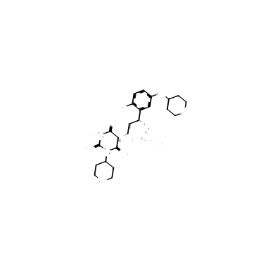 CC(C)(C)[S@@+]([O-])N[C@@H](c1cc(OC2CCOCC2)ccc1F)[C@@H](F)C[C@@H]1C(=O)NC(=O)N(C2CCOCC2)C1=O